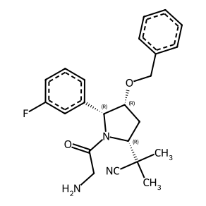 CC(C)(C#N)[C@H]1C[C@@H](OCc2ccccc2)[C@@H](c2cccc(F)c2)N1C(=O)CN